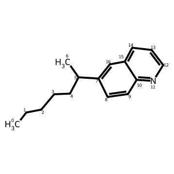 CCCCCC(C)c1ccc2ncccc2c1